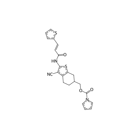 N#Cc1c(NC(=O)C=Cc2cccs2)sc2c1CCC(COC(=O)n1cccc1)C2